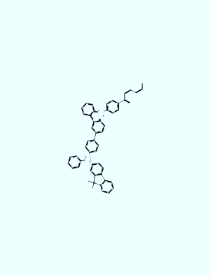 C=C(/C=C\C=C/C)c1ccc(-n2c3ccccc3c3cc(-c4ccc(N(c5ccccc5)c5ccc6c(c5)C(C)(C)c5ccccc5-6)cc4)ccc32)cc1